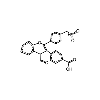 O=CC1C(c2ccc(C(=O)O)cc2)=C(c2ccc(C[SH](=O)=O)cc2)Oc2ccccc21